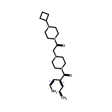 C=C/C=C(\C=C/N)C(=O)N1CCN(CC(=O)N2CCN(C3CCC3)CC2)CC1